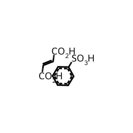 O=C(O)C=CC(=O)O.O=S(=O)(O)c1ccccc1